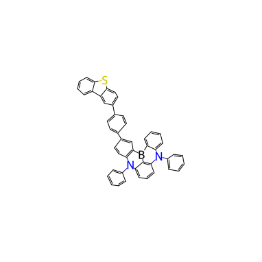 c1ccc(N2c3ccccc3B3c4cc(-c5ccc(-c6ccc7sc8ccccc8c7c6)cc5)ccc4N(c4ccccc4)c4cccc2c43)cc1